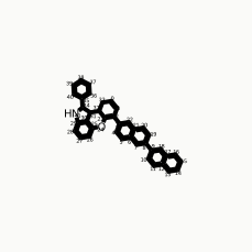 C1=CC(c2ccc3cc(-c4ccc5ccccc5c4)ccc3c2)=C2Oc3cccc4c3C(C2C1)C(c1ccccc1)N4